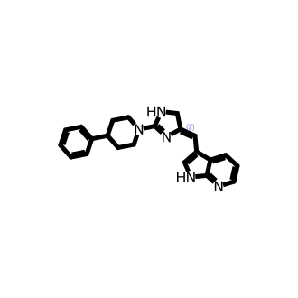 C(=C1\CNC(N2CCC(c3ccccc3)CC2)=N1)/c1c[nH]c2ncccc12